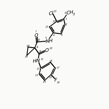 Cc1ccc(NC(=O)C2(C(=O)Nc3ccc(F)cc3)CC2)cc1Cl